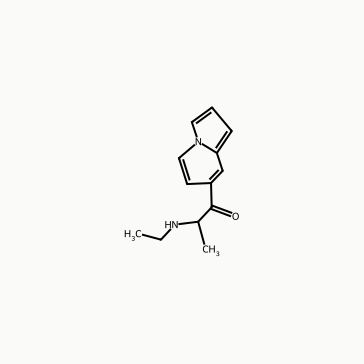 CCNC(C)C(=O)c1ccn2cccc2c1